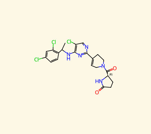 CC(Nc1nc(C2=CCN(C(=O)[C@H]3CCC(=O)N3)CC2)ncc1Cl)c1ccc(Cl)cc1Cl